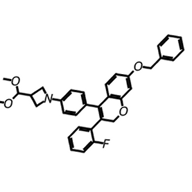 COC(OC)C1CN(c2ccc(C3=C(c4ccccc4F)COc4cc(OCc5ccccc5)ccc43)cc2)C1